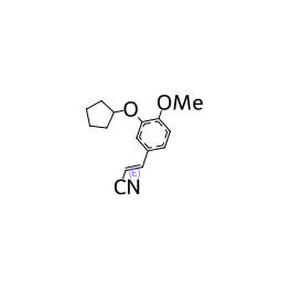 COc1ccc(/C=C/C#N)cc1OC1CCCC1